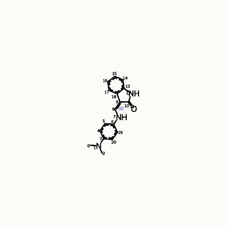 CN(C)c1ccc(N/C=C2\C(=O)Nc3ccccc32)cc1